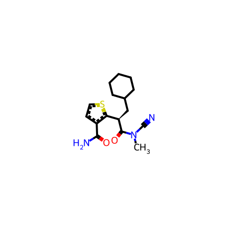 CN(C#N)C(=O)[C@H](CC1CCCCC1)c1sccc1C(N)=O